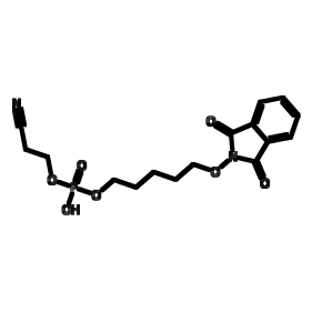 N#CCCOP(=O)(O)OCCCCCON1C(=O)c2ccccc2C1=O